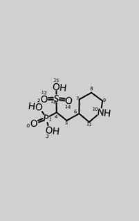 O=P(O)(O)C(CC1CCCNC1)S(=O)(=O)O